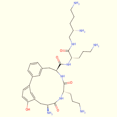 NCCC[C@H](N)CNC(=O)[C@H](CCCN)NC(=O)[C@@H]1Cc2cccc(c2)-c2ccc(O)c(c2)C[C@H](N)C(=O)N[C@@H](CCCN)C(=O)N1